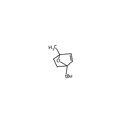 CC12C=CC(C(C)(C)C)(CC1)O2